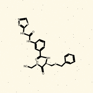 N#CCNC(=O)[C@H](CSCc1ccccc1)NC(=O)c1cccc(NC(=O)Nc2nncs2)c1